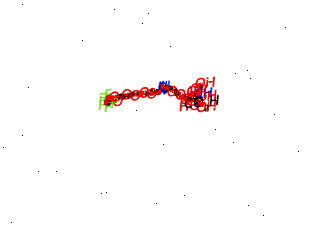 O=C(CO)NC1[C@H](C(O)[C@H](O)CO)O[C@@](OCCOCCOCc2cn(CCOCCOCCOCCOCCC(=O)Oc3c(F)c(F)c(F)c(F)c3F)nn2)(C(=O)O)C[C@@H]1O